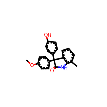 COc1ccc(C2(c3ccc(O)cc3)C(=O)Nc3c(C)cccc32)cc1